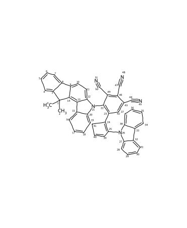 CC1(C)c2ccccc2-c2ccc3c(c21)c1ccccc1n3-c1c(C2=C(n3c4ccccc4c4ccccc43)C=CC2)cc(C#N)c(C#N)c1C#N